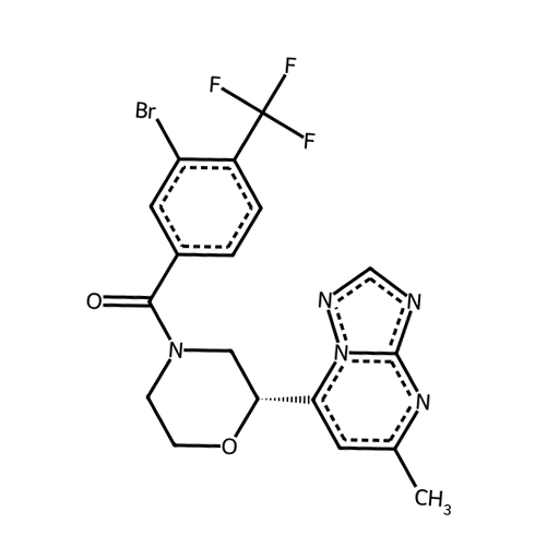 Cc1cc([C@H]2CN(C(=O)c3ccc(C(F)(F)F)c(Br)c3)CCO2)n2ncnc2n1